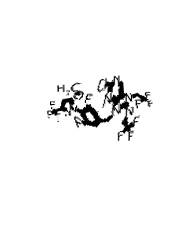 COc1cc(C(F)(F)F)nn1-c1c(F)cc(Cn2c(=NCC(F)(F)F)n(CC(F)(F)F)c3cnc(Cl)nc32)cc1F